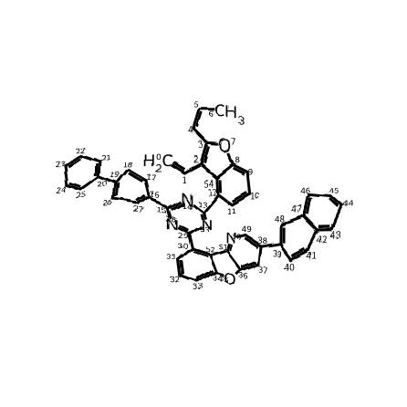 C=Cc1c(/C=C\C)oc2cccc(-c3nc(-c4ccc(-c5ccccc5)cc4)nc(-c4cccc5oc6cc(-c7ccc8ccccc8c7)cnc6c45)n3)c12